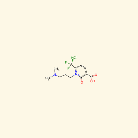 CN(C)CCCn1c(C(F)(F)F)ccc(C(=O)O)c1=O.Cl